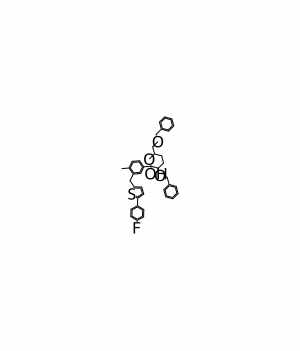 Cc1ccc(C2(O)OC(COCc3ccccc3)CCC2OCc2ccccc2)cc1Cc1ccc(-c2ccc(F)cc2)s1